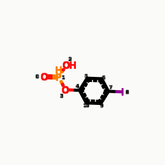 O=[PH](O)Oc1ccc(I)cc1